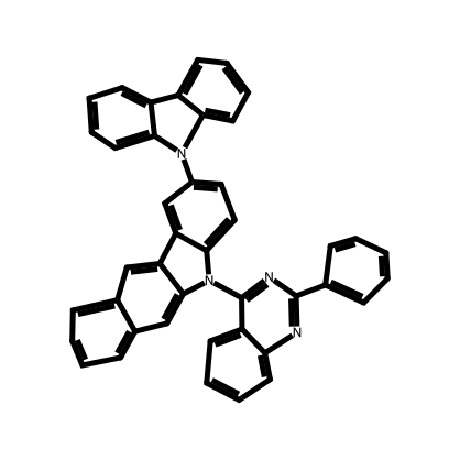 c1ccc(-c2nc(-n3c4ccc(-n5c6ccccc6c6ccccc65)cc4c4cc5ccccc5cc43)c3ccccc3n2)cc1